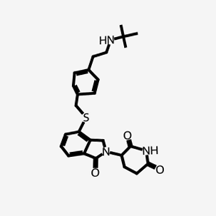 CC(C)(C)NCCc1ccc(CSc2cccc3c2CN(C2CCC(=O)NC2=O)C3=O)cc1